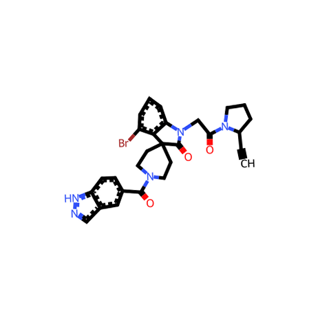 C#CC1CCCN1C(=O)CN1C(=O)C2(CCN(C(=O)c3ccc4[nH]ncc4c3)CC2)c2c(Br)cccc21